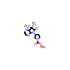 CC(C)(C)OC(=O)N1CCC(N2C(=O)C(C)(C)c3nccnc32)C1